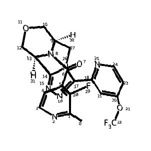 Cc1nccc(C(=O)N2[C@H]3COC[C@@H]2c2nnc(-c4cc(OC(F)(F)F)ccn4)n2C3)c1F